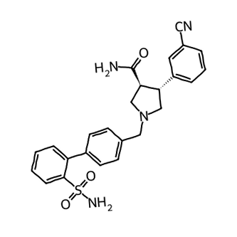 N#Cc1cccc([C@@H]2CN(Cc3ccc(-c4ccccc4S(N)(=O)=O)cc3)C[C@H]2C(N)=O)c1